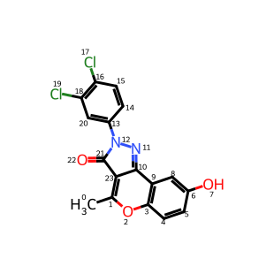 Cc1oc2ccc(O)cc2c2nn(-c3ccc(Cl)c(Cl)c3)c(=O)c1-2